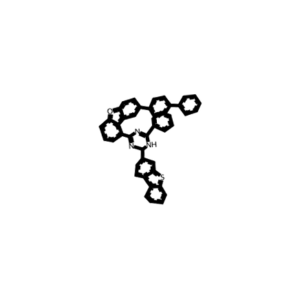 c1ccc(C2=NC(c3cccc4oc5ccc(-c6ccc(-c7ccccc7)cc6)cc5c34)=NC(c3ccc4c(c3)sc3ccccc34)N2)cc1